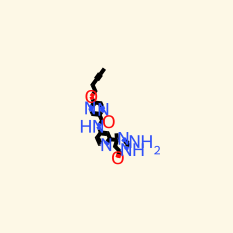 CC#CCCOc1cnc(C(=O)Nc2ccnc(C3(C)CC(=O)NC(N)=N3)c2)cn1